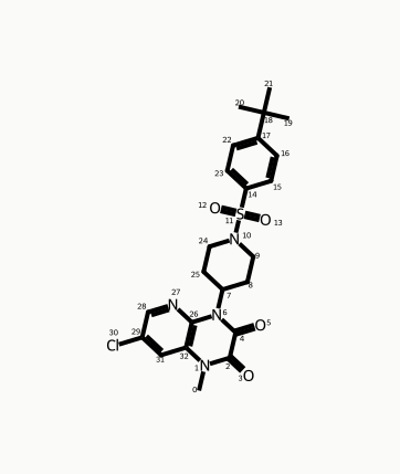 Cn1c(=O)c(=O)n(C2CCN(S(=O)(=O)c3ccc(C(C)(C)C)cc3)CC2)c2ncc(Cl)cc21